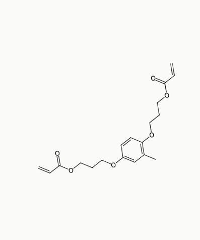 C=CC(=O)OCCCOc1ccc(OCCCOC(=O)C=C)c(C)c1